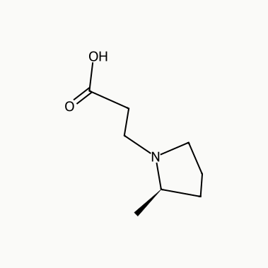 C[C@@H]1CCCN1CCC(=O)O